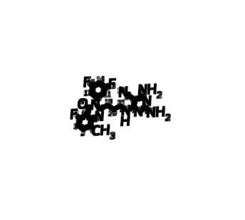 Cc1ccc(F)c2c(=O)n(-c3cc(F)cc(F)c3)c(CCCNc3nc(N)nc(N)c3C#N)nc12